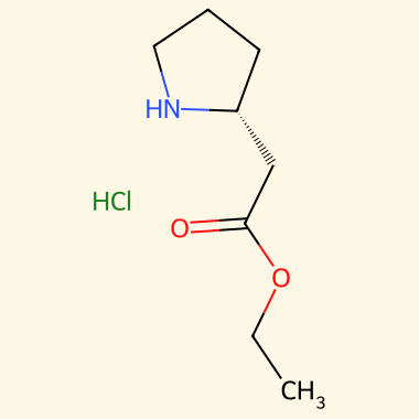 CCOC(=O)C[C@H]1CCCN1.Cl